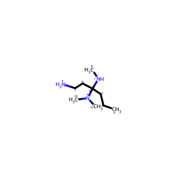 CCCC(CCN)(NC)N(C)C